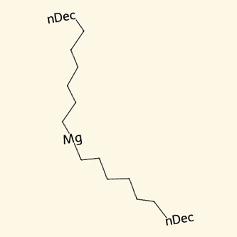 CCCCCCCCCCCCCCC[CH2][Mg][CH2]CCCCCCCCCCCCCCC